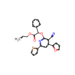 C=CCOC(=O)C(Oc1nc(-c2cccs2)cc(-c2ccco2)c1C#N)c1ccccc1